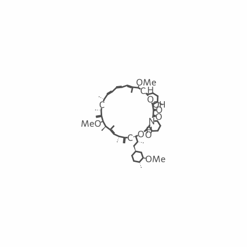 C=C1C[C@@H]([C@H](C)C[C@@H]2CC[C@@H](C)[C@H](OC)C2)OC(=O)[C@@H]2CCCCN2C(=O)C(=O)[C@]2(O)O[C@@H](CC[C@H]2C)C[C@H](OC)/C(C)=C/C=C/C=C/[C@@H](C)C[C@@H](C)C(=C)[C@H](OC)[C@H](C)/C(C)=C/[C@H]1C